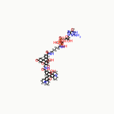 Nc1nc2c(ncn2C2C[C@H](O)[C@@H](COP(=O)(O)OP(=O)(O)OP(=O)(O)NCCCCCCCNC(=O)c3ccc(-c4c5ccc(=O)cc-5oc5c(CNC(=O)c6ccc(C7=c8cc9c%10c(c8Oc8c7cc7c%11c8CCCN%11CCC7)CCC[N+]=%10CCC9)c(C(=O)O)c6)c(O)ccc45)c(C(=O)O)c3)O2)c(=O)[nH]1